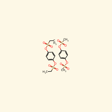 CCS(=O)(=O)Oc1ccc(OS(=O)(=O)CC)cc1.CS(=O)(=O)Oc1ccc(OS(C)(=O)=O)cc1